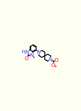 COC(=O)N1CCC2(CC1)CCN(c1cccc3[nH]c(=O)n(C)c13)CC2